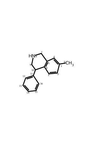 Cc1ccc2c(c1)CNCC2c1ccccc1